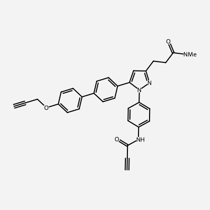 C#CCOc1ccc(-c2ccc(-c3cc(CCC(=O)NC)nn3-c3ccc(NC(=O)C#C)cc3)cc2)cc1